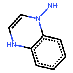 [NH]N1C=CNc2ccccc21